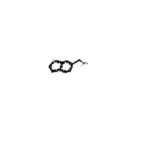 CC[C@H](C)Cc1ccc2ccsc2c1